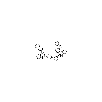 c1cc(-c2ccc(-c3nc(-c4ccc5ccccc5c4)c4ccccc4n3)cc2)cc(-c2nc3ccccc3c3c2ccc2c4ccccc4sc23)c1